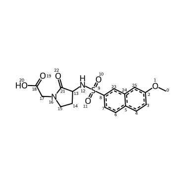 COc1ccc2ccc(S(=O)(=O)NC3CCN(CC(=O)O)C3=O)cc2c1